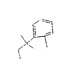 CCCCCCCCCCCC(CCCCCCC)(CCCCCCC)c1ccccc1O